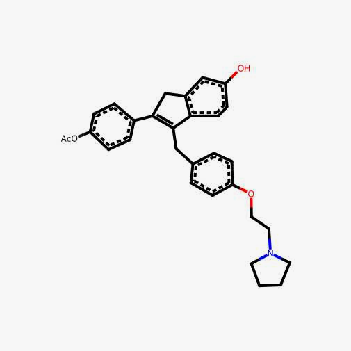 CC(=O)Oc1ccc(C2=C(Cc3ccc(OCCN4CCCC4)cc3)c3ccc(O)cc3C2)cc1